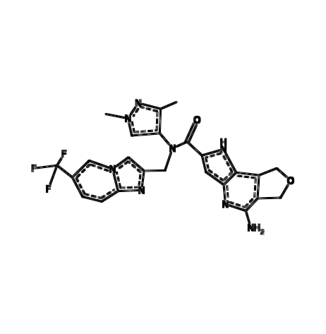 Cc1nn(C)cc1N(Cc1cn2cc(C(F)(F)F)ccc2n1)C(=O)c1cc2nc(N)c3c(c2[nH]1)COC3